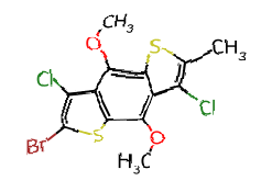 COc1c2sc(Br)c(Cl)c2c(OC)c2sc(C)c(Cl)c12